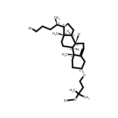 CCOC(C)(C)CCO[C@@H]1CC[C@@]2(C)C(=CC[C@H]3[C@@H]4CC[C@H]([C@H](C)CCCC(C)C)[C@@]4(C)CC[C@@H]32)C1